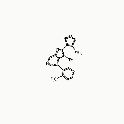 CCn1c(-c2nonc2N)nc2cncc(-c3ccccc3C(F)(F)F)c21